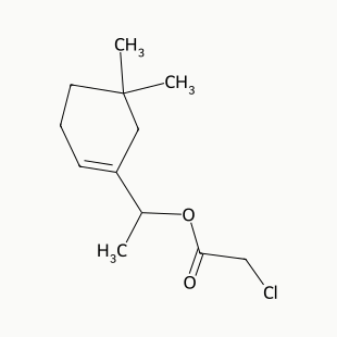 CC(OC(=O)CCl)C1=CCCC(C)(C)C1